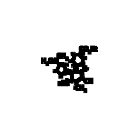 CCCCc1c(C)c(C#N)c2nc3cc(C(=O)OCC)ccc3n2c1N1CC[C@H](N(C)C)C1